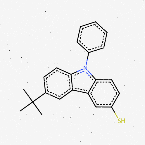 CC(C)(C)c1ccc2c(c1)c1cc(S)ccc1n2-c1ccccc1